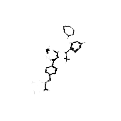 N[C@@H](Cc1ccc(-c2cc(OC(c3ccc(F)cc3OC3CCCCC3)C(F)(F)F)ncn2)cc1)C(=O)O